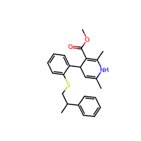 COC(=O)C1=C(C)NC(C)=CC1c1ccccc1SCC(C)c1ccccc1